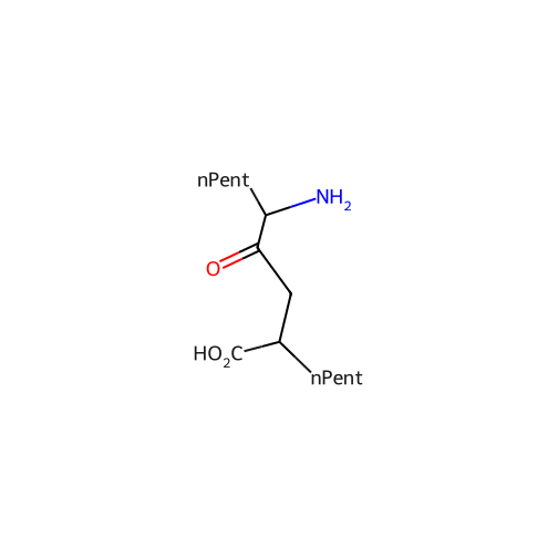 CCCCCC(N)C(=O)CC(CCCCC)C(=O)O